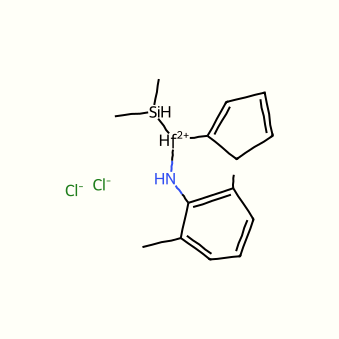 Cc1cccc(C)c1[NH][Hf+2]([C]1=CC=CC1)[SiH](C)C.[Cl-].[Cl-]